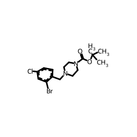 CC(C)(C)OC(=O)N1CCN(Cc2ccc(Cl)cc2Br)CC1